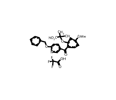 COc1ccc(C(=O)c2ccc(OCc3ccccc3)nc2)c(OC(C)(C)C(=O)O)c1.O=C(O)C(F)(F)F